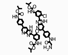 CC(C)OC(=O)Nc1ccc(-c2cnc3nc(-c4cc(NC(=O)OC(C)C)ccc4Cl)[nH]c3c2)cc1.CC(C)OC(=O)Nc1ccc(Cl)c(-c2nc3ncc(-c4ccc(NC(=O)CN)cc4)cc3[nH]2)c1